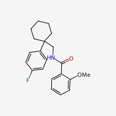 COc1ccccc1C(=O)NCC1(c2ccc(F)cc2)CCCCC1